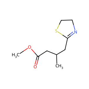 COC(=O)CC(C)CC1=NCCS1